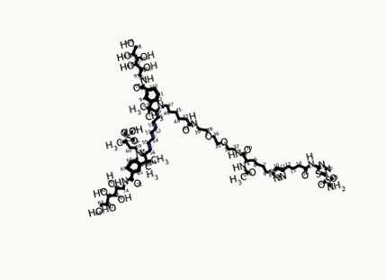 CC(=O)NC(CCCCn1cc(CCCC(=O)Nc2nnc(S(N)(=O)=O)s2)nn1)C(=O)NCCOCCOCCNC(=O)CCCCCN1/C(=C/C=C/C=C/C=C/C2=[N+](CCC(C)S(=O)(=O)O)c3ccc(C(=O)NC[C@H](O)[C@@H](O)[C@H](O)[C@H](O)CO)cc3C2(C)C)C(C)(C)c2cc(C(=O)NC[C@H](O)[C@@H](O)[C@H](O)[C@H](O)CO)ccc21